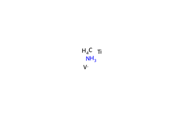 C.N.[Ti].[V]